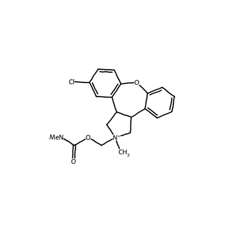 CNC(=O)OC[N+]1(C)CC2c3ccccc3Oc3ccc(Cl)cc3C2C1